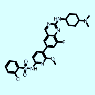 COc1nc(NS(=O)(=O)c2ccccc2Cl)ccc1-c1cc(F)c2nc(NC3CCC(N(C)C)CC3)ncc2c1